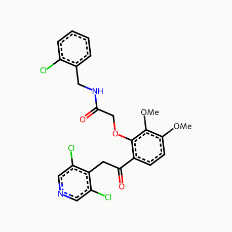 COc1ccc(C(=O)Cc2c(Cl)cncc2Cl)c(OCC(=O)NCc2ccccc2Cl)c1OC